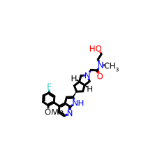 COc1ccc(F)cc1-c1ccnc2[nH]c([C@H]3C[C@@H]4CN(CC(=O)N(C)CCO)C[C@@H]4C3)cc12